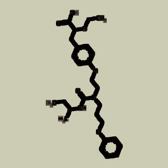 CCOC(Cc1ccc(OCCN(CCCOc2ccccc2)C(=O)NC(C)CC)cc1)C(=O)O